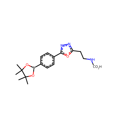 CC1(C)OB(c2ccc(-c3nnc(CCNC(=O)O)o3)cc2)OC1(C)C